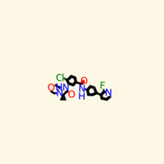 O=C(Nc1ccc(-c2cccnc2F)cc1)c1ccc(Cl)c(NC(=O)C2(N3CCOCC3)CC2)c1